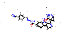 N#Cc1ccc(C=NNC(=O)c2ccc3c(c2)[nH]c2c(C4(C(N)=O)CC4)nccc23)cc1